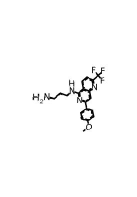 COc1ccc(-c2cc3nc(C(F)(F)F)ccc3c(NCCCN)n2)cc1